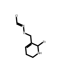 CCC1NCCC=C1CON=CCl